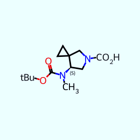 CN(C(=O)OC(C)(C)C)[C@@H]1CN(C(=O)O)CC12CC2